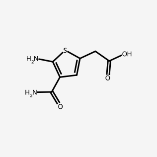 NC(=O)c1cc(CC(=O)O)sc1N